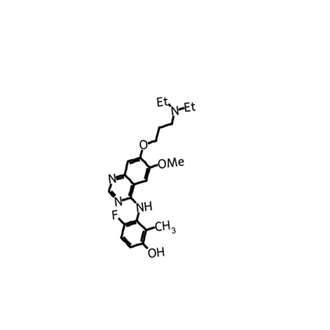 CCN(CC)CCCOc1cc2ncnc(Nc3c(F)ccc(O)c3C)c2cc1OC